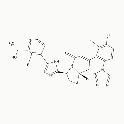 O=C1C=C(c2c(-n3cnnn3)ccc(Cl)c2F)C[C@@H]2CC[C@@H](c3ncc(-c4ccnc([C@H](O)C(F)(F)F)c4F)[nH]3)N12